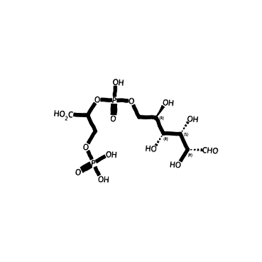 O=C[C@H](O)[C@@H](O)[C@H](O)[C@H](O)COP(=O)(O)OC(COP(=O)(O)O)C(=O)O